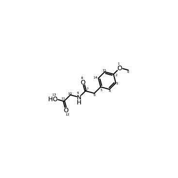 COc1ccc(CC(=O)NCC(=O)O)cc1